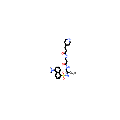 CN(C)c1cccc2c(S(=O)(=O)N[C@@H](CNC(=O)CCNC(=O)CCC3CCNCC3)C(=O)O)cccc12